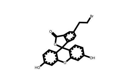 O=C1OC2(c3ccc(O)cc3Oc3cc(O)ccc32)c2ccc(CCBr)cc21